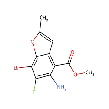 COC(=O)c1c(N)c(F)c(Br)c2oc(C)cc12